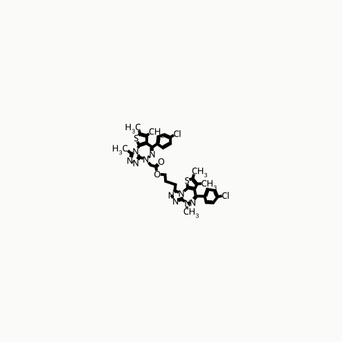 Cc1sc2c(c1C)C(c1ccc(Cl)cc1)=NN(C)c1nnc(CCCOC(=O)CN3N=C(c4ccc(Cl)cc4)c4c(sc(C)c4C)-n4c(C)nnc43)n1-2